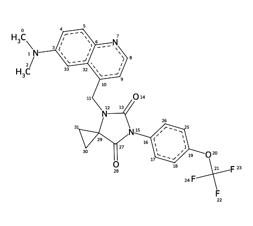 CN(C)c1ccc2nccc(CN3C(=O)N(c4ccc(OC(F)(F)F)cc4)C(=O)C34CC4)c2c1